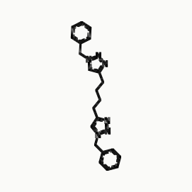 c1ccc(Cn2cc(CCCCc3cn(Cc4ccccc4)nn3)nn2)cc1